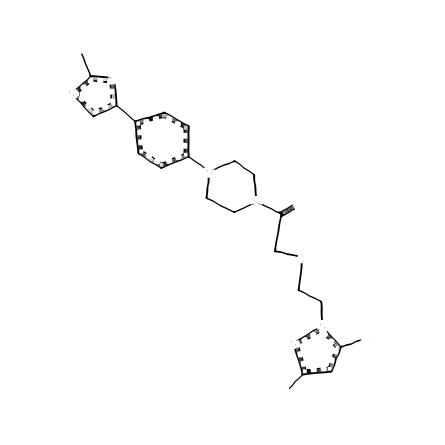 Cc1cc(C)n(CCSCC(=O)N2CCN(c3ccc(-c4cnc(C)o4)cc3)CC2)n1